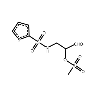 CS(=O)(=O)OC([C]=O)CNS(=O)(=O)c1cccs1